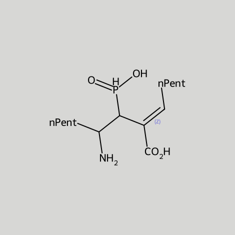 CCCCC/C=C(/C(=O)O)C(C(N)CCCCC)[PH](=O)O